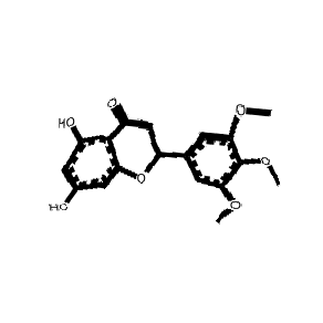 COc1cc(C2CC(=O)c3c(O)cc(O)cc3O2)cc(OC)c1OC